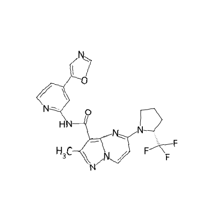 Cc1nn2ccc(N3CCC[C@@H]3C(F)(F)F)nc2c1C(=O)Nc1cc(-c2cnco2)ccn1